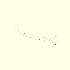 C=CC(=O)OCOc1ccc(C(=O)Oc2ccc3c(c2)C(C)c2cc(OC(=O)c4ccc(OCC(COC(=O)C=C)OC(=O)C=C)cc4)ccc2-3)cc1